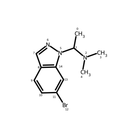 CC(N(C)C)n1ncc2ccc(Br)cc21